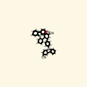 N#CC1=CC2c3ccccc3N(c3ccc(C4CC(C#N)=C(C#N)C=C4C4C=CC=CC4n4c5ccc#cc5c5ccccc54)cc3)C2C=C1